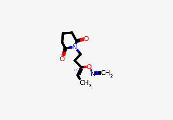 C=NO/C(=C\C)CCN1C(=O)CCCC1=O